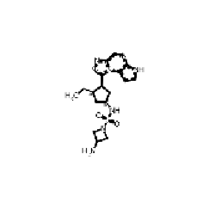 CC[C@@H]1C[C@H](NS(=O)(=O)N2CC(N)C2)CC1c1nnc2cnc3[nH]ccc3n12